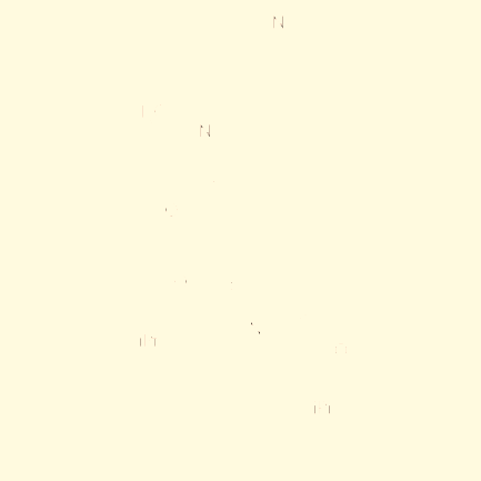 CC(C)c1cccc(C(C)C)c1N1C(=O)c2cccc(C(=O)N(C)c3cccnc3)c2C1=O